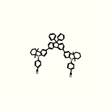 CC12CCCCC1(C)N(c1ccc(C#N)cc1)c1ccc(-c3ccc4c(c3)-c3cc(-c5ccc6c(c5)C5(C)CCCCC5(C)N6c5ccc(C#N)cc5)ccc3C4(c3ccccc3)c3ccccc3)cc12